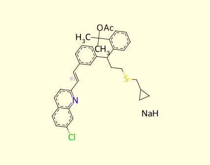 CC(=O)OC(C)(C)c1ccccc1C(CCSCC1CC1)c1cccc(/C=C/c2ccc3ccc(Cl)cc3n2)c1.[NaH]